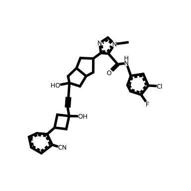 Cn1cnc(C2CC3CC(O)(C#CC4(O)CC(c5ccccc5C#N)C4)CC3C2)c1C(=O)Nc1ccc(F)c(Cl)c1